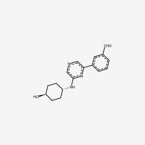 O=Cc1cccc(-c2cncc(N[C@H]3CC[C@H](O)CC3)n2)c1